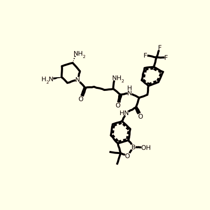 CC1(C)OB(O)c2cc(NC(=O)C(Cc3ccc(C(F)(F)F)cc3)NC(=O)C(N)CCC(=O)N3C[C@@H](N)C[C@H](N)C3)ccc21